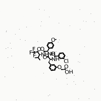 COc1ccc([C@H](NC(=O)[C@H](Cc2cccc(OCC(=O)O)c2)NC(=O)c2cccc(Cl)c2)C(=O)N[C@H](C(=O)C(F)(F)F)C(C)C)cc1